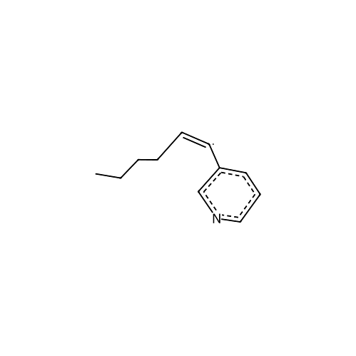 CCCC/C=[C]\c1cccnc1